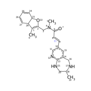 CC1=C(CN(C)C(=O)/C=C/c2cnc3c(c2)CNC(C)CN3)OC2C=CC=CC12